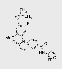 COc1cc(C2CC2(C)C)c(F)cc1-n1c(=O)ccc2cc([S+]([O-])Nc3ccon3)ccc21